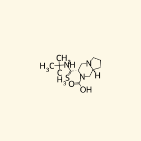 CC(C)(C)NC(=S)[C@@H]1CN2CCC[C@@H]2CN1C(=O)O